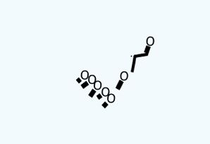 C=O.C=O.C=O.C=O.C=O.C=O.C[CH]C=O